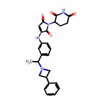 CC(c1cccc(NC2=CC(=O)N(C3CCC(=O)NC3=O)C2=O)c1)N1CC(c2ccccc2)C1